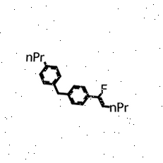 CCCC=C(F)c1ccc(Cc2ccc(CCC)cc2)cc1